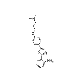 CN(C)CCCOc1ccc(-c2cnc(-c3ccccc3N)s2)cc1